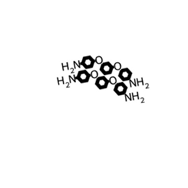 Nc1ccc(Oc2cccc(Oc3ccc(N)cc3)c2)cc1.Nc1ccc(Oc2cccc(Oc3ccc(N)cc3)c2)cc1